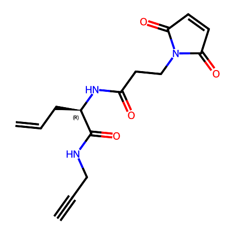 C#CCNC(=O)[C@@H](CC=C)NC(=O)CCN1C(=O)C=CC1=O